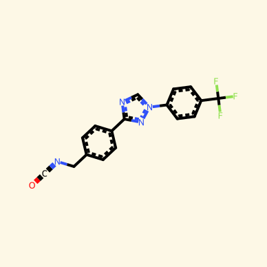 O=C=NCc1ccc(-c2ncn(-c3ccc(C(F)(F)F)cc3)n2)cc1